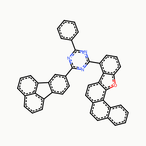 c1ccc(-c2nc(-c3ccc4c(c3)-c3cccc5cccc-4c35)nc(-c3cccc4oc5c(ccc6ccc7ccccc7c65)c34)n2)cc1